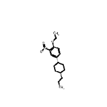 CCC[C@H]1CC[C@H](c2ccc(OCC)c([N+](=O)[O-])c2)CC1